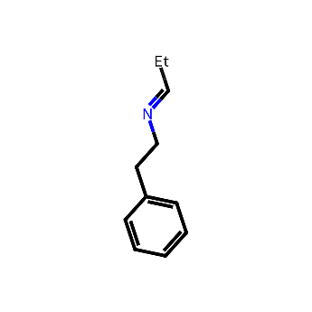 CCC=NCCc1ccccc1